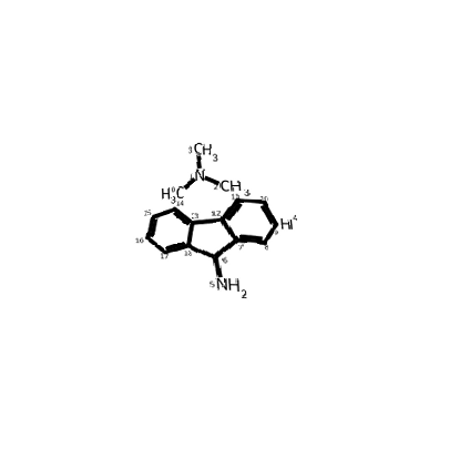 CN(C)C.I.NC1c2ccccc2-c2ccccc21